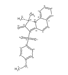 COc1ccc(S(=O)(=O)C2=C3C=Cc4ccccc4N3C(C)(C)C2=O)cc1